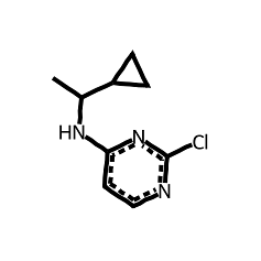 CC(Nc1ccnc(Cl)n1)C1CC1